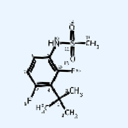 CC(C)(C)c1c(F)ccc(NS(C)(=O)=O)c1F